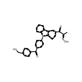 CC(=O)ON=C(C)C(=O)c1ccc2c(c1)c1ccccc1n2-c1ccc(C(=O)c2ccc(CO)cc2)cc1